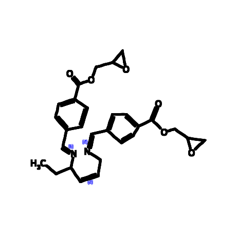 CCC(/C=C\C/N=C\c1ccc(C(=O)OCC2CO2)cc1)/N=C/c1ccc(C(=O)OCC2CO2)cc1